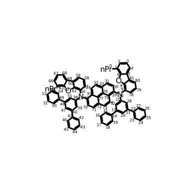 CCCc1cccc2c1oc1c(N(c3cc(-c4ccccc4)cc(-c4ccccc4)c3)c3ccc4ccc5c(N(c6cc(-c7ccccc7)cc(-c7ccccc7)c6)c6cccc7c6oc6c(CCC)cccc67)ccc6ccc3c4c65)cccc12